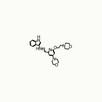 C(=NNc1c[nH]c2ccccc12)c1cc(N2CCOCC2)cc(OCCN2CCOCC2)n1